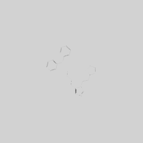 CB(c1ccccc1)c1ccccc1.CCCCc1cncn1CCC1OCCO1